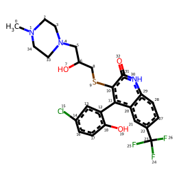 CN1CCN(CC(O)CSc2c(-c3cc(Cl)ccc3O)c3cc(C(F)(F)F)ccc3[nH]c2=O)CC1